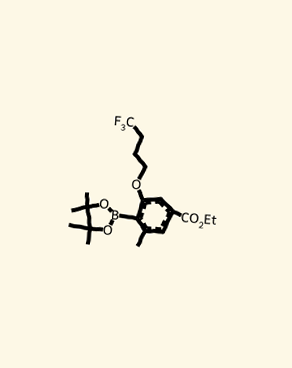 CCOC(=O)c1cc(C)c(B2OC(C)(C)C(C)(C)O2)c(OCCCC(F)(F)F)c1